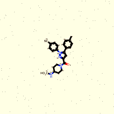 Cc1ccc(-c2cc(C(=O)N3CCC(NC(=O)O)CC3)nn2-c2ccc(C#N)cc2)cc1